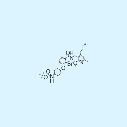 C=CCCc1cc(C)nc(OC)c1CNC(=O)c1cccc(O[C@H]2CC[C@H](NC(=O)OC(C)(C)C)CC2)c1Br